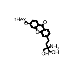 CCCCCCOc1ccc2c(=O)c3ccc(CCC(N)(CO)CO)cc3oc2c1